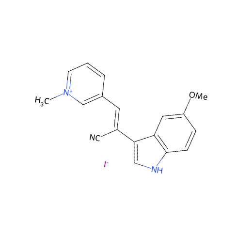 COc1ccc2[nH]cc(C(C#N)=Cc3ccc[n+](C)c3)c2c1.[I-]